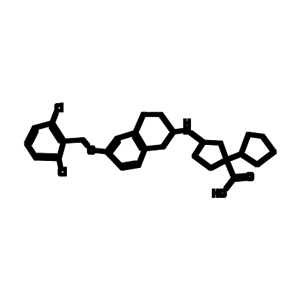 O=C(O)C1(C2CCCC2)CCC(NC2CCc3cc(OCc4c(Cl)cccc4Cl)ccc3C2)C1